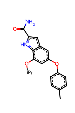 Cc1ccc(Oc2cc(OC(C)C)c3[nH]c(C(N)=O)cc3c2)cc1